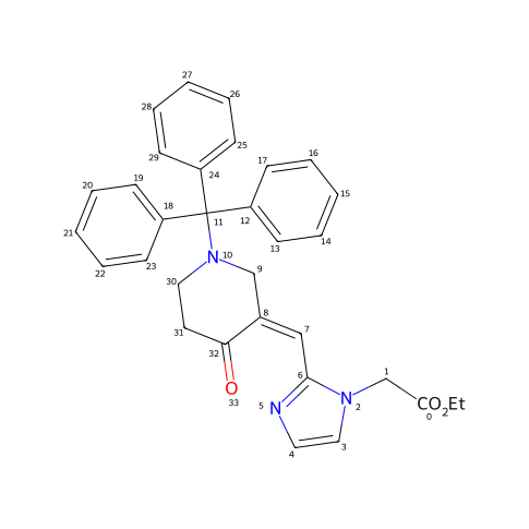 CCOC(=O)Cn1ccnc1C=C1CN(C(c2ccccc2)(c2ccccc2)c2ccccc2)CCC1=O